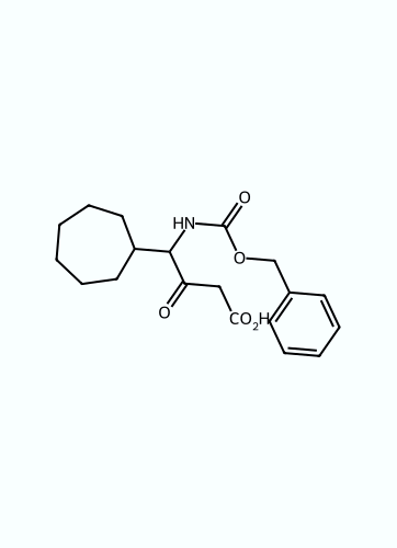 O=C(O)CC(=O)C(NC(=O)OCc1ccccc1)C1CCCCCC1